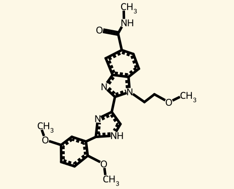 CNC(=O)c1ccc2c(c1)nc(-c1c[nH]c(-c3cc(OC)ccc3OC)n1)n2CCOC